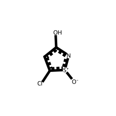 [O-][s+]1nc(O)cc1Cl